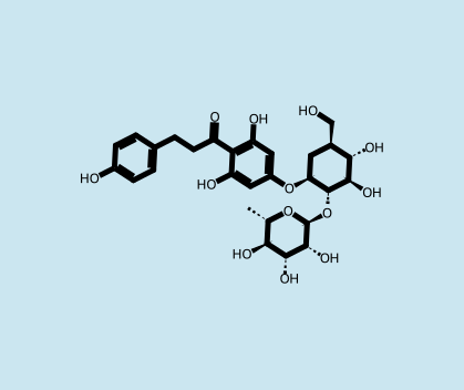 C[C@@H]1O[C@@H](O[C@H]2[C@H](O)[C@@H](O)[C@H](CO)C[C@@H]2Oc2cc(O)c(C(=O)CCc3ccc(O)cc3)c(O)c2)[C@H](O)[C@H](O)[C@H]1O